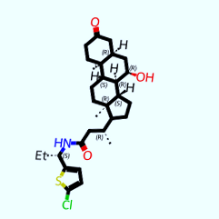 CC[C@H](NC(=O)C[C@@H](C)C1CC[C@H]2[C@@H]3[C@H](O)C[C@@H]4CC(=O)CC[C@]4(C)[C@H]3CC[C@]12C)c1ccc(Cl)s1